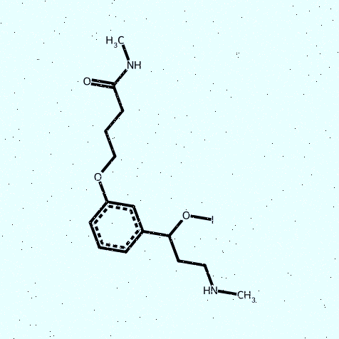 CNCCC(OI)c1cccc(OCCCC(=O)NC)c1